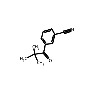 CC(C)(C)C(=O)c1cccc(C#N)c1